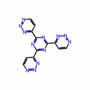 c1cc(-c2nc(-c3ccnnn3)nc(-c3ccnnn3)n2)nnn1